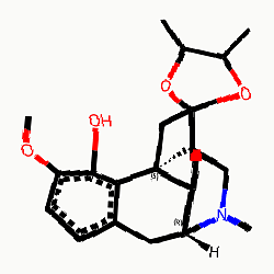 COc1ccc2c(c1O)[C@]13CCN(C)[C@H](C2)C1CCC1(C3)OC(C)C(C)O1